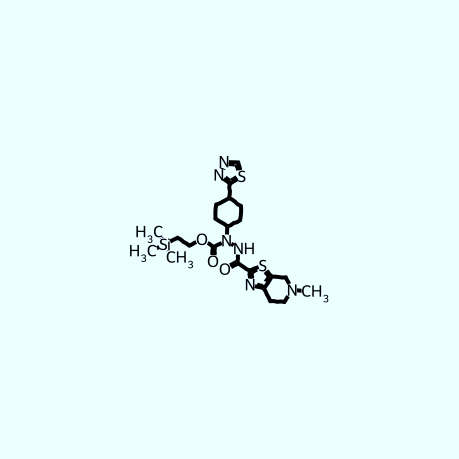 CN1CCc2nc(C(=O)NN(C(=O)OCC[Si](C)(C)C)C3CCC(c4nncs4)CC3)sc2C1